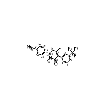 CC1=C(c2cccc(C(F)(F)F)c2)C(=O)N(C)[C@H](c2ccc(C#N)cc2)C1